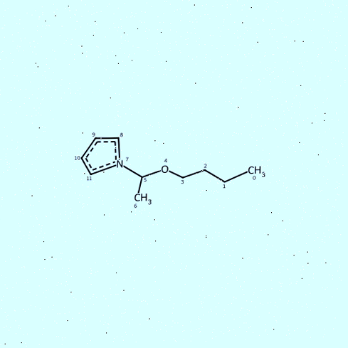 CCCCOC(C)n1cccc1